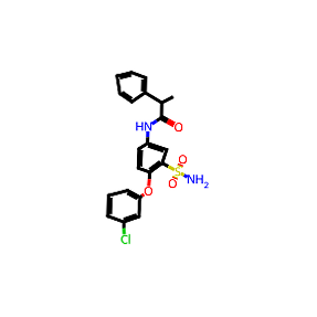 CC(C(=O)Nc1ccc(Oc2cccc(Cl)c2)c(S(N)(=O)=O)c1)c1ccccc1